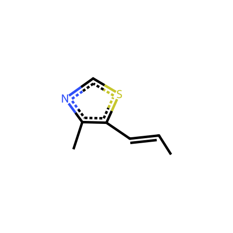 CC=Cc1scnc1C